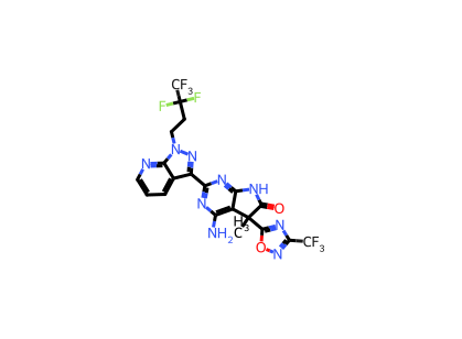 CC1(c2nc(C(F)(F)F)no2)C(=O)Nc2nc(-c3nn(CCC(F)(F)C(F)(F)F)c4ncccc34)nc(N)c21